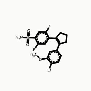 COc1cc(C2=C(c3cc(F)c(S(N)(=O)=O)cc3F)CCC2)ccc1Cl